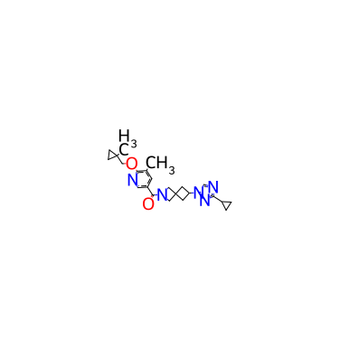 Cc1cc(C(=O)N2CC3(CC(n4cnc(C5CC5)n4)C3)C2)cnc1OCC1(C)CC1